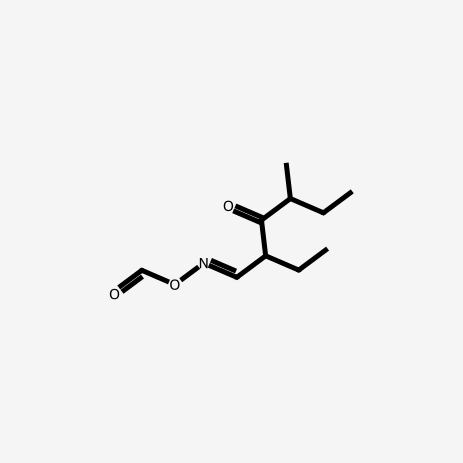 CCC(C)C(=O)C(/C=N/OC=O)CC